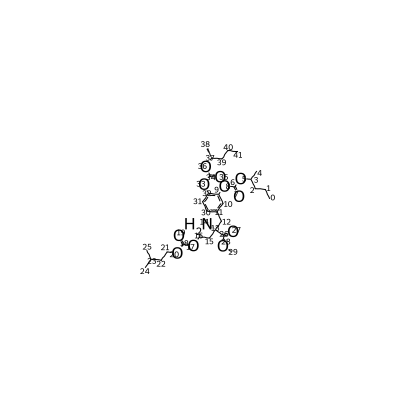 CCCC(C)OC(=O)Oc1cc(C[C@](N)(CCOC(=O)OCCC(C)C)C(=O)OC)ccc1OC(=O)O[C@@H](C)CCC